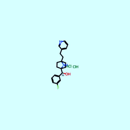 Cl.Cl.O[C@@H](c1cccc(F)c1)C12CCC(CCc3cccnc3)(CC1)N2